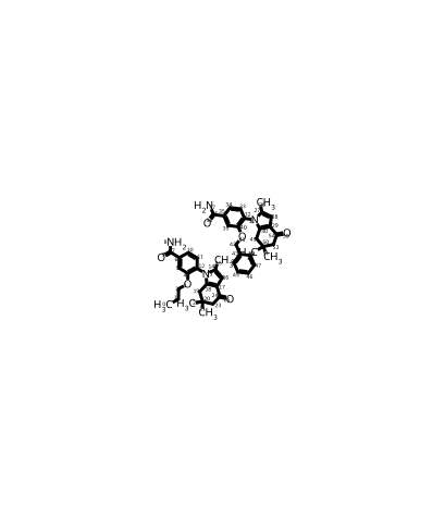 CCCOc1cc(C(N)=O)ccc1-n1c(C)cc2c1CC(C)(C)CC2=O.Cc1cc2c(n1-c1ccc(C(N)=O)cc1OCc1ccccc1)CC(C)(C)CC2=O